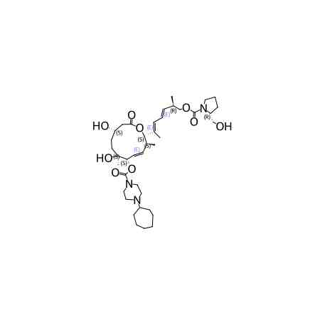 C/C(=C\C=C\[C@@H](C)COC(=O)N1CCC[C@@H]1CO)[C@H]1OC(=O)C[C@@H](O)CC[C@](C)(O)[C@@H](OC(=O)N2CCN(C3CCCCCC3)CC2)/C=C/[C@@H]1C